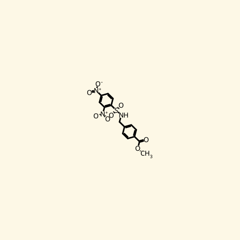 COC(=O)c1ccc(CNS(=O)(=O)c2ccc([N+](=O)[O-])cc2[N+](=O)[O-])cc1